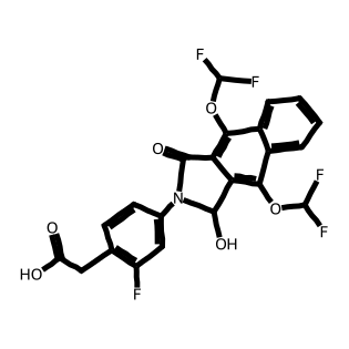 O=C(O)Cc1ccc(N2C(=O)c3c(c(OC(F)F)c4ccccc4c3OC(F)F)C2O)cc1F